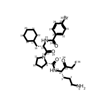 NCCC[C@H](NC(=O)[C@@H]1CCCN1C(=O)[C@H](CC1CCCCC1)NC(=O)c1ccc(Br)cc1)C(=O)CF